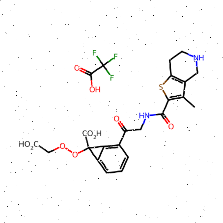 Cc1c(C(=O)NCC(=O)c2cccc3c2C3(OOCC(=O)O)C(=O)O)sc2c1CNCC2.O=C(O)C(F)(F)F